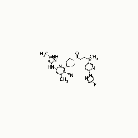 Cc1cc(Nc2cc(C)c(C#N)c([C@H]3CC[C@@H](C(=O)CC[C@@H](C)c4ccc(-n5cc(F)cn5)nc4)CC3)n2)n[nH]1